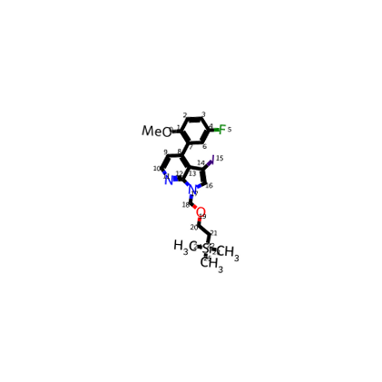 COc1ccc(F)cc1-c1ccnc2c1c(I)cn2COCC[Si](C)(C)C